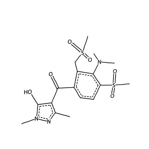 Cc1nn(C)c(O)c1C(=O)c1ccc(S(C)(=O)=O)c(N(C)C)c1CS(C)(=O)=O